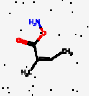 CC=C(C)C(=O)ON